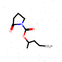 CC(CCC(=O)O)OC(=O)N1CCCC1=O